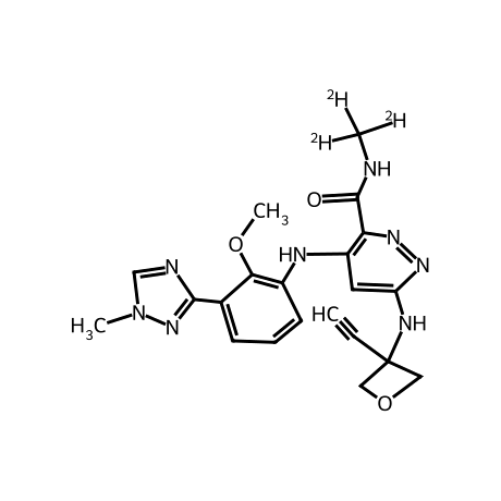 [2H]C([2H])([2H])NC(=O)c1nnc(NC2(C#C)COC2)cc1Nc1cccc(-c2ncn(C)n2)c1OC